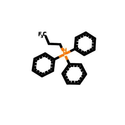 FC(F)(F)CC[PH](c1ccccc1)(c1ccccc1)c1ccccc1